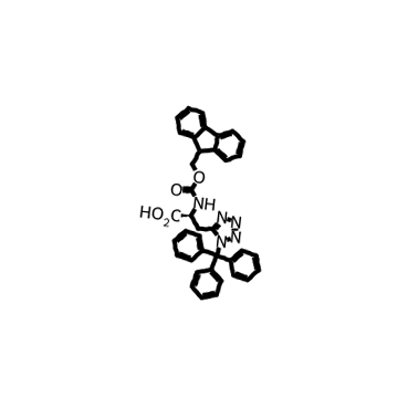 O=C(N[C@@H](Cc1nnnn1C(c1ccccc1)(c1ccccc1)c1ccccc1)C(=O)O)OCC1c2ccccc2-c2ccccc21